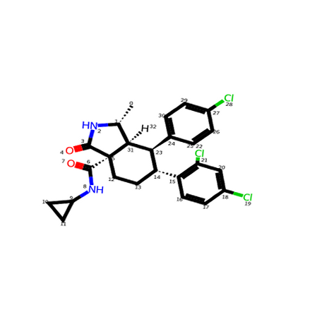 C[C@H]1NC(=O)[C@]2(C(=O)NC3CC3)CC[C@@H](c3ccc(Cl)cc3Cl)[C@H](c3ccc(Cl)cc3)[C@H]12